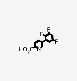 O=C(O)c1ccc(-c2cc(F)cc(F)c2F)cn1